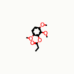 CCC(=O)Oc1c(OC)ccc(OC)c1OC